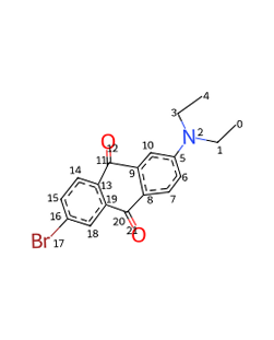 CCN(CC)c1ccc2c(c1)C(=O)c1ccc(Br)cc1C2=O